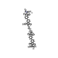 C=C/N=C(\N)N1C(=O)c2ccc(-c3ccc4c(c3)C(O)N(CCOCCOC(C)(C)N3C(=O)c5ccc(-c6ccc7c(c6)C(=O)N(C(=N)NC)C7=O)cc5C3=O)C4=O)cc2C1=O